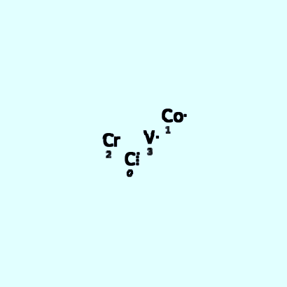 [C].[Co].[Cr].[V]